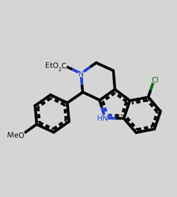 CCOC(=O)N1CCc2c([nH]c3cccc(Cl)c23)C1c1ccc(OC)cc1